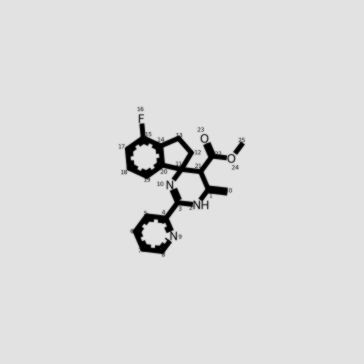 C=C1NC(c2ccccn2)=NC2(CCc3c(F)cccc32)C1C(=O)OC